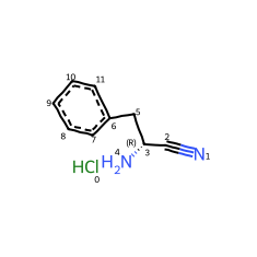 Cl.N#C[C@H](N)Cc1ccccc1